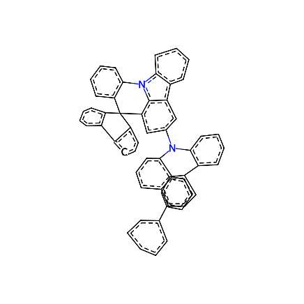 c1ccc(-c2ccc(-c3ccccc3N(c3cc4c5c(c3)c3ccccc3n5-c3ccccc3C43c4ccccc4-c4ccccc43)c3cccc4ccccc34)cc2)cc1